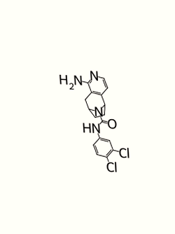 Nc1nccc2c1CC1CCC2N1C(=O)Nc1ccc(Cl)c(Cl)c1